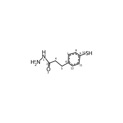 NNC(=O)CCc1ccc(S)cc1